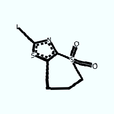 O=S1(=O)CCCc2sc(I)nc21